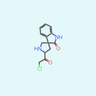 O=C(CCl)C1CC2(CN1)C(=O)Nc1ccccc12